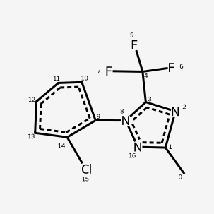 Cc1nc(C(F)(F)F)n(-c2ccccc2Cl)n1